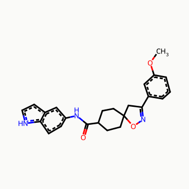 COc1cccc(C2=NOC3(CCC(C(=O)Nc4ccc5[nH]ccc5c4)CC3)C2)c1